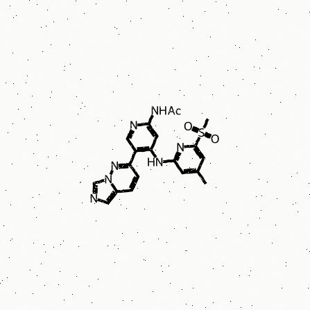 CC(=O)Nc1cc(Nc2cc(C)cc(S(C)(=O)=O)n2)c(-c2ccc3cncn3n2)cn1